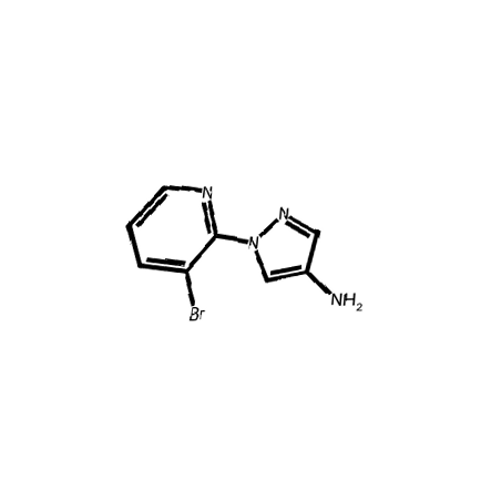 Nc1cnn(-c2ncccc2Br)c1